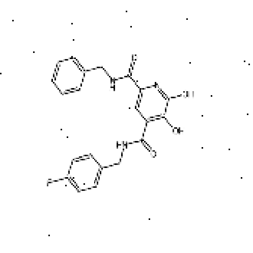 O=C(NCc1ccccc1)c1cc(C(=O)NCc2ccc(F)cc2)c(O)c(O)n1